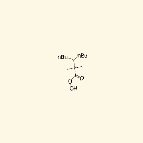 CCCCC(CCCC)C(C)(C)C(=O)OO